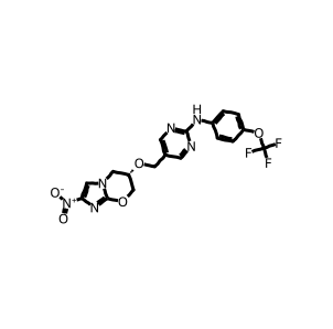 O=[N+]([O-])c1cn2c(n1)OC[C@@H](OCc1cnc(Nc3ccc(OC(F)(F)F)cc3)nc1)C2